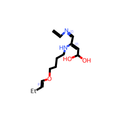 C=C/N=C\C(=C\C(O)O)NCCCCO/C=C/CC